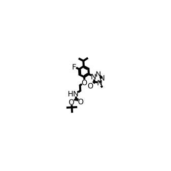 CC(C)c1cc(-n2nnn(C)c2=O)c(OCCNC(=O)OC(C)(C)C)cc1F